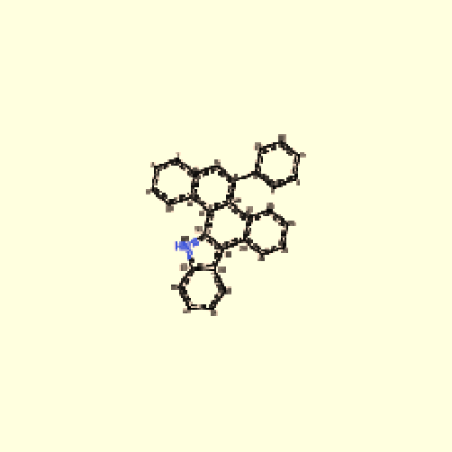 c1ccc(-c2cc3ccccc3c3c4[nH]c5ccccc5c4c4ccccc4c23)cc1